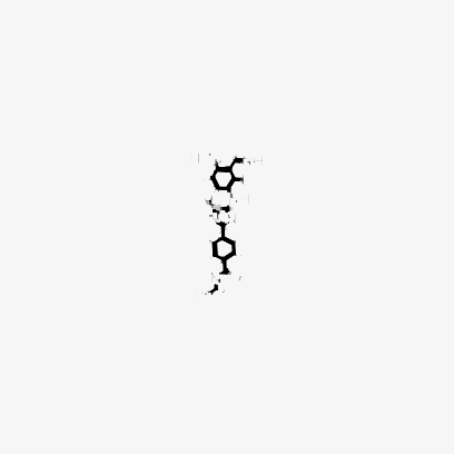 CCc1c(Nc2nc(-c3ccc(C(=O)NCC(C)C)cc3)nn2C)ccc(N)c1C=N